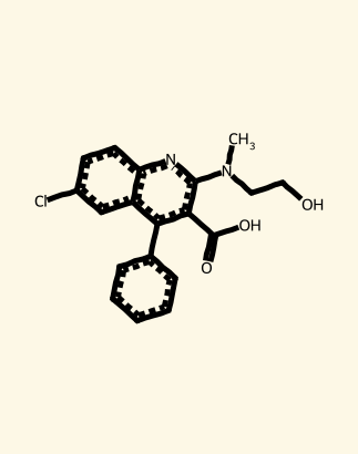 CN(CCO)c1nc2ccc(Cl)cc2c(-c2ccccc2)c1C(=O)O